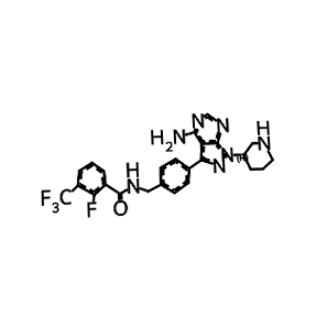 Nc1ncnc2c1c(-c1ccc(CNC(=O)c3cccc(C(F)(F)F)c3F)cc1)nn2[C@@H]1CCCNC1